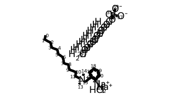 CCCCCCCCCCCC[N+](C)(C)Cc1ccccc1.Cl.O.O.O.O.O.O.O.O.O.O.O.O.O=P([O-])([O-])[O-].[Na+].[Na+]